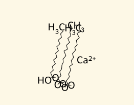 CCCCCCCCCCCCCCCC(=O)O.CCCCCCCCCCCCCCCCCC(=O)[O-].CCCCCCCCCCCCCCCCCC(=O)[O-].[Ca+2]